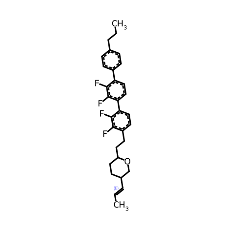 C/C=C/C1CCC(CCc2ccc(-c3ccc(-c4ccc(CCC)cc4)c(F)c3F)c(F)c2F)OC1